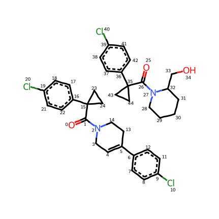 O=C(N1CC=C(c2ccc(Cl)cc2)CC1)C1(c2ccc(Cl)cc2)CC1.O=C(N1CCCCC1CO)C1(c2ccc(Cl)cc2)CC1